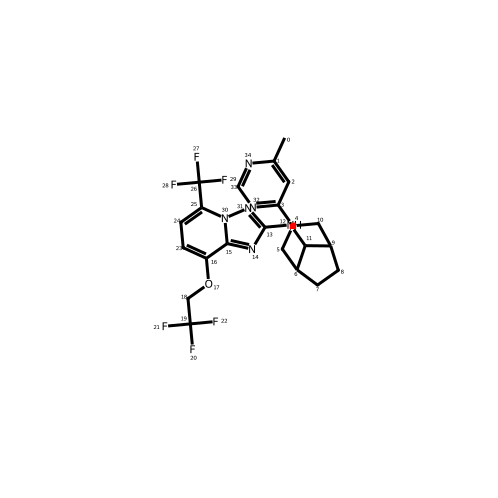 Cc1cc(N2CC3CCC(C2)C3Nc2nc3c(OCC(F)(F)F)ccc(C(F)(F)F)n3n2)ncn1